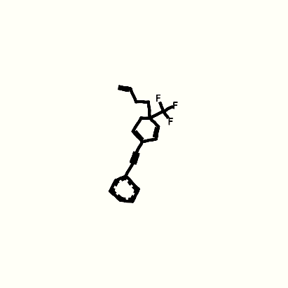 C=CCCC1(C(F)(F)F)C=CC(C#Cc2ccccc2)=CC1